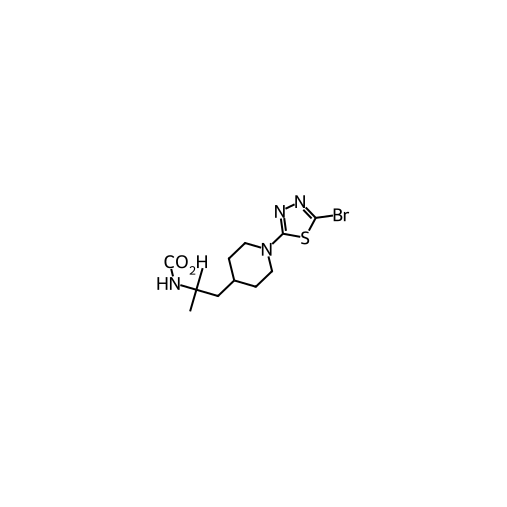 CC(C)(CC1CCN(c2nnc(Br)s2)CC1)NC(=O)O